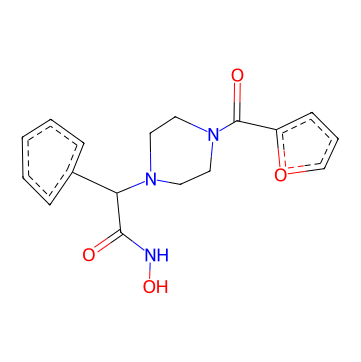 O=C(NO)C(c1ccccc1)N1CCN(C(=O)c2ccco2)CC1